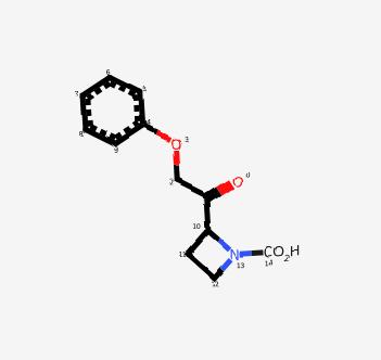 O=C(COc1ccccc1)C1CCN1C(=O)O